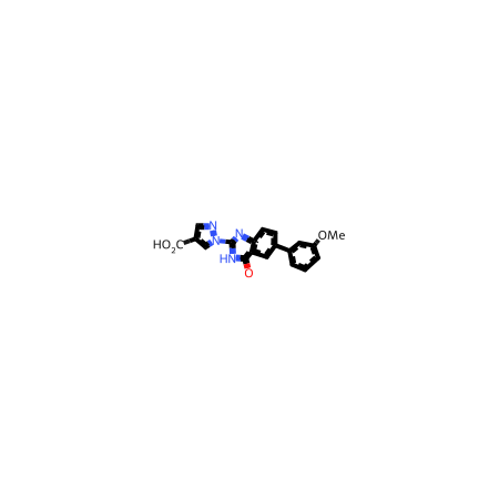 COc1cccc(-c2ccc3nc(-n4cc(C(=O)O)cn4)[nH]c(=O)c3c2)c1